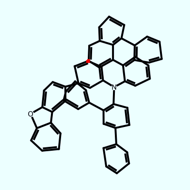 c1ccc(-c2ccc(N(c3cccc(-c4ccc5oc6ccccc6c5c4)c3)c3ccccc3-c3cccc4cccc(-c5ccccc5)c34)c(-c3ccccc3)c2)cc1